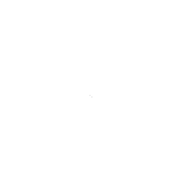 Cc1ccc(-c2cc(O)cc(O)c2)nc1